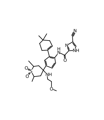 COCCNC1(c2ccc(NC(=O)c3nc(C#N)c[nH]3)c(C3=CCC(C)(C)CC3)c2)CC(C)S(=O)(=O)C(C)C1